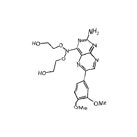 COc1ccc(-c2cnc3nc(N)nc(N(OCCO)OCCO)c3n2)cc1OC